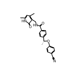 Cc1cc(C)c(CNC(=O)c2ccc([C@@H](C)Oc3ccc(C#N)cc3)cc2)c(=O)[nH]1